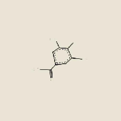 C=C(NC)c1cc(C)c(C)c(C)c1